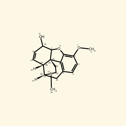 COc1ccc2c3c1OC1C(O)C=C[C@H]4[C@@H](C2)N(C)CC[C@]314